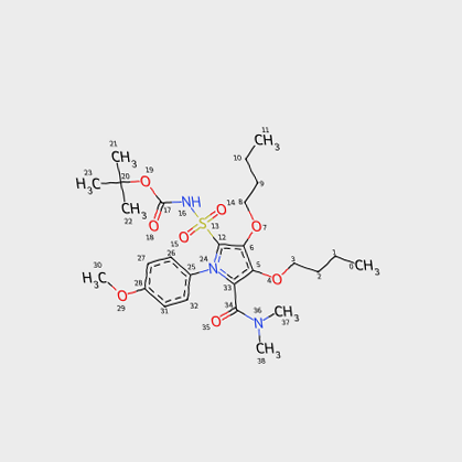 CCCCOc1c(OCCCC)c(S(=O)(=O)NC(=O)OC(C)(C)C)n(-c2ccc(OC)cc2)c1C(=O)N(C)C